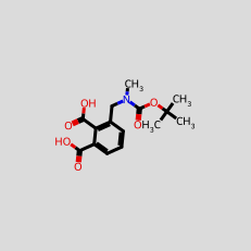 CN(Cc1cccc(C(=O)O)c1C(=O)O)C(=O)OC(C)(C)C